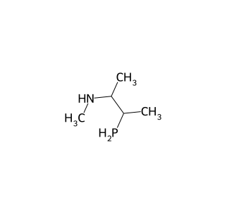 CNC(C)C(C)P